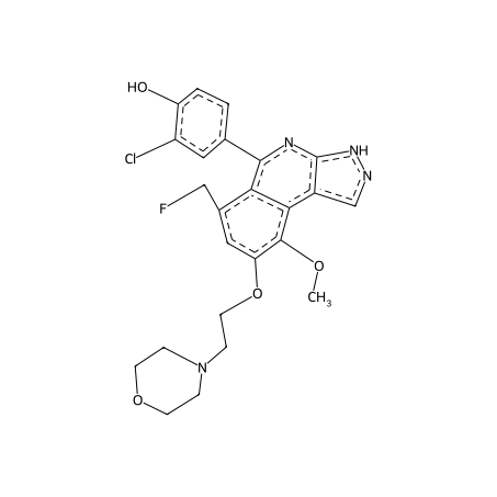 COc1c(OCCN2CCOCC2)cc(CF)c2c(-c3ccc(O)c(Cl)c3)nc3[nH]ncc3c12